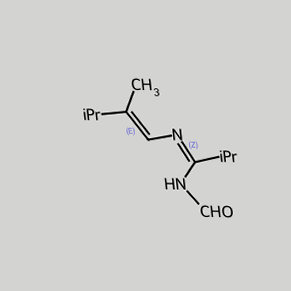 C/C(=C\N=C(/NC=O)C(C)C)C(C)C